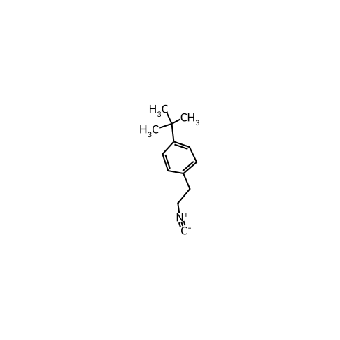 [C-]#[N+]CCc1ccc(C(C)(C)C)cc1